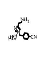 Cl.Cl.N#Cc1ccc(Cn2cnc(CCN)c2)cc1